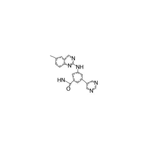 CNC(=O)c1cc(Nc2ncc3cc(C)ccc3n2)cc(-c2cncnc2)c1